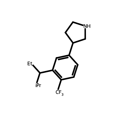 CCC(c1cc(C2CCNC2)ccc1C(F)(F)F)C(C)C